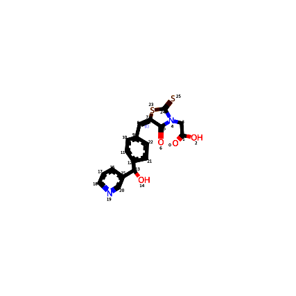 O=C(O)CN1C(=O)/C(=C\c2ccc(C(O)c3cccnc3)cc2)SC1=S